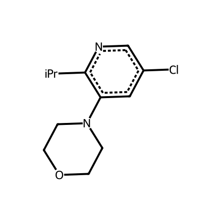 CC(C)c1ncc(Cl)cc1N1CCOCC1